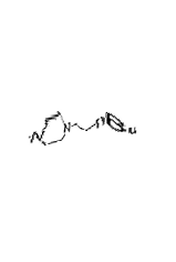 CCCCCCN1CC[N]CC1